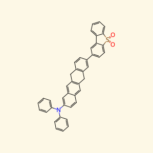 O=S1(=O)c2ccccc2-c2cc(-c3ccc4c(c3)Cc3cc5ccc(N(c6ccccc6)c6ccccc6)cc5cc3C4)ccc21